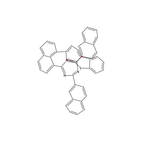 c1ccc2cc(-c3nc(-c4ccc5ccccc5c4)nc(-c4cccc5cccc(-c6ccc7c(c6)sc6ccccc67)c45)n3)ccc2c1